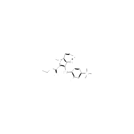 CCOC(=O)c1c(Nc2ccc([Si](C)(C)C)cc2F)c2nnccc2n1C